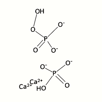 O=P([O-])([O-])O.O=P([O-])([O-])OO.[Ca+2].[Ca+2]